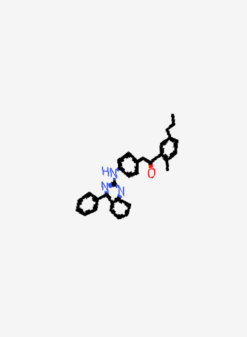 CCCc1ccc(C)c(C(=O)Cc2ccc(Nc3nc(-c4ccccc4)c4ccccc4n3)cc2)c1